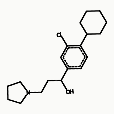 OC(CCN1CCCC1)c1ccc(C2CCCCC2)c(Cl)c1